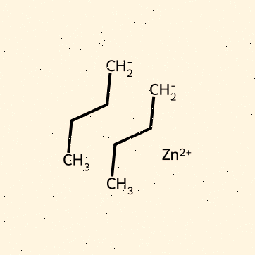 [CH2-]CCC.[CH2-]CCC.[Zn+2]